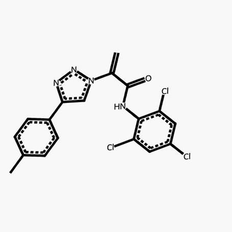 C=C(C(=O)Nc1c(Cl)cc(Cl)cc1Cl)n1cc(-c2ccc(C)cc2)nn1